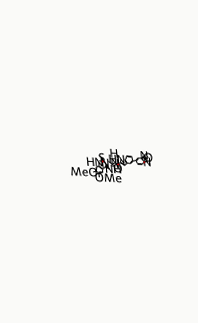 COc1cc2[nH]c(=S)n(CCNC(=O)c3cc4cc(-c5ccc6nonc6c5)ccc4[nH]3)c(=N)c2cc1OC